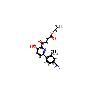 CCOC(=O)CCC(=O)c1nc(-c2ccc(C#N)cc2C)ccc1O